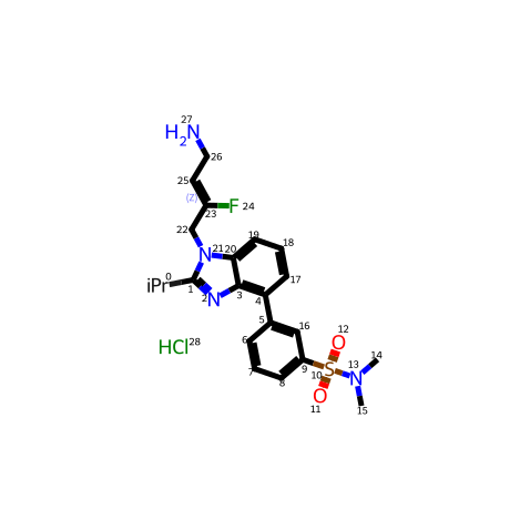 CC(C)c1nc2c(-c3cccc(S(=O)(=O)N(C)C)c3)cccc2n1C/C(F)=C/CN.Cl